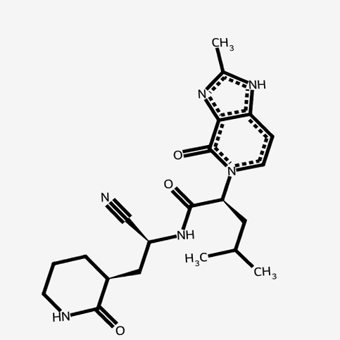 Cc1nc2c(=O)n([C@@H](CC(C)C)C(=O)N[C@H](C#N)C[C@@H]3CCCNC3=O)ccc2[nH]1